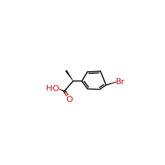 C[C@H](C(=O)O)c1ccc(Br)cc1